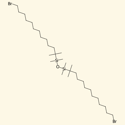 CC(C)(CCCCCCCCCCCBr)[Si](C)(C)O[Si](C)(C)C(C)(C)CCCCCCCCCCCBr